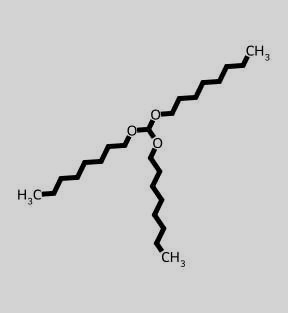 CCCCCCCCOC(OCCCCCCCC)OCCCCCCCC